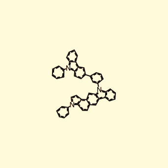 c1ccc(-n2ccc3c4cc5c(cc4ccc32)c2ccccc2n5-c2cccc(-c3ccc4c(c3)c3ccccc3n4-c3ccccc3)c2)cc1